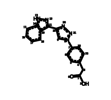 O=C(O)Cc1ccc(-n2cc(-c3n[nH]c4ccccc34)nn2)cc1